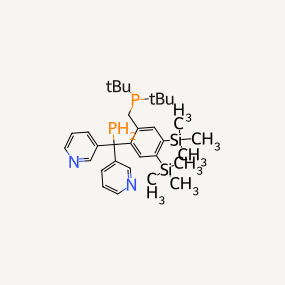 CC(C)(C)P(Cc1cc([Si](C)(C)C)c([Si](C)(C)C)cc1C(P)(c1cccnc1)c1cccnc1)C(C)(C)C